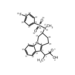 CC(C(=O)O)c1c2n(c3ccccc13)CC(N(C)S(=O)(=O)c1ccc(F)cc1)CC2